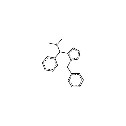 CN(C)C(c1ccccc1)c1cccn1Cc1ccccc1